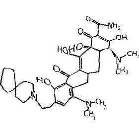 CN(C)c1cc(CN2CCC3(CCCC3)CC2)c(O)c2c1CC1CC3[C@H](N(C)C)C(O)=C(C(N)=O)C(=O)[C@@]3(O)C(O)=C1C2=O